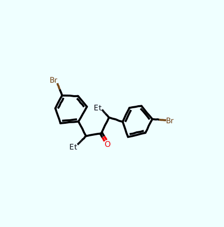 CCC(C(=O)C(CC)c1ccc(Br)cc1)c1ccc(Br)cc1